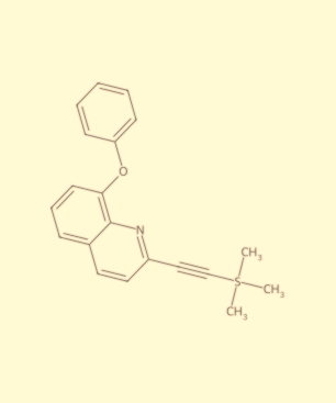 CS(C)(C)C#Cc1ccc2cccc(Oc3ccccc3)c2n1